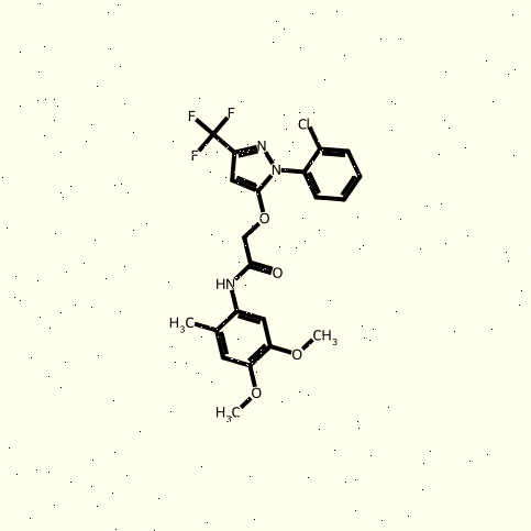 COc1cc(C)c(NC(=O)COc2cc(C(F)(F)F)nn2-c2ccccc2Cl)cc1OC